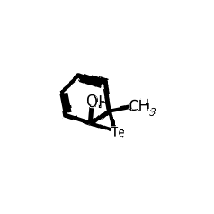 CC12C=CC=CC1(O)[Te]2